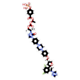 CC[C@@H]([C@H](C)OC(=O)OC(C)OC(=O)c1ccc(OP(=O)(O)O)cc1)n1ncn(-c2ccc(N3CCN(c4ccc(OC[C@@H]5CO[C@@](CCn6cncn6)(c6ccc(F)cc6F)C5)cc4)CC3)cc2)c1=O